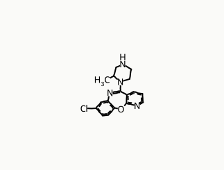 CC1CNCCN1C1=Nc2cc(Cl)ccc2Oc2ncccc21